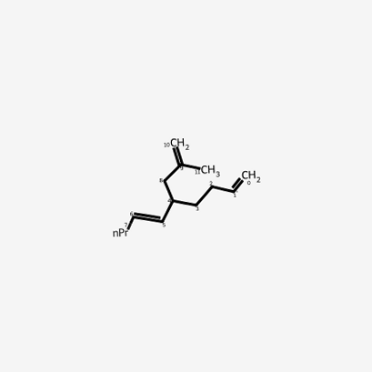 C=[C]CCC(C=CCCC)CC(=C)C